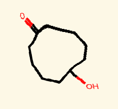 O=C1CCCCC(O)CCCC1